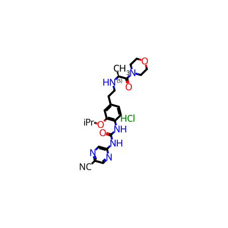 CC(C)Oc1cc(CCN[C@@H](C)C(=O)N2CCOCC2)ccc1NC(=O)Nc1cnc(C#N)cn1.Cl